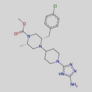 COC(=O)N1C[C@H](Cc2ccc(Cl)cc2)N(C2CCN(c3nnc(N)[nH]3)CC2)C[C@@H]1C